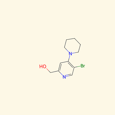 OCc1cc(N2CCCCC2)c(Br)cn1